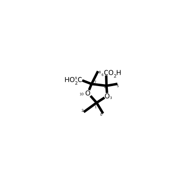 CC1(C)OC(C)(C(=O)O)C(C)(C(=O)O)O1